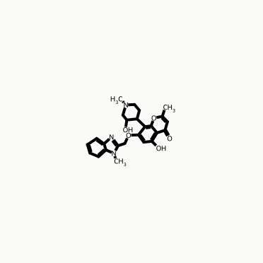 Cc1cc(=O)c2c(O)cc(OCc3nc4ccccc4n3C)c(C3CCN(C)CC3O)c2o1